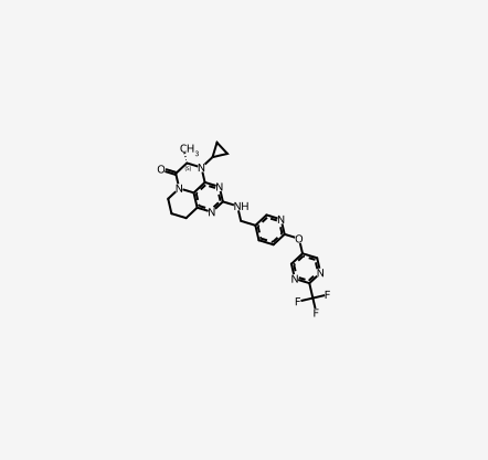 C[C@H]1C(=O)N2CCCc3nc(NCc4ccc(Oc5cnc(C(F)(F)F)nc5)nc4)nc(c32)N1C1CC1